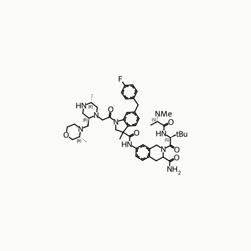 CN[C@@H](C)C(=O)N[C@H](C(=O)N1Cc2cc(NC(=O)C3(C)CN(C(=O)CN4C[C@@H](C)NC[C@@H]4CN4CCOC[C@H]4C)c4cc(Cc5ccc(F)cc5)ccc43)ccc2CC1C(N)=O)C(C)(C)C